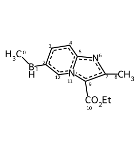 CBc1ccc2nc(C)c(C(=O)OCC)n2c1